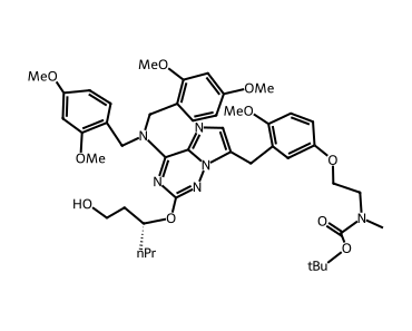 CCC[C@H](CCO)Oc1nc(N(Cc2ccc(OC)cc2OC)Cc2ccc(OC)cc2OC)c2ncc(Cc3cc(OCCN(C)C(=O)OC(C)(C)C)ccc3OC)n2n1